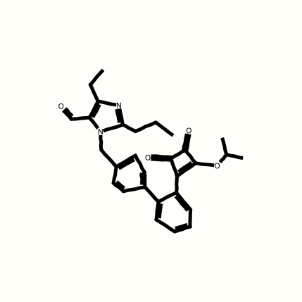 CCCc1nc(CC)c(C=O)n1Cc1ccc(-c2ccccc2-c2c(OC(C)C)c(=O)c2=O)cc1